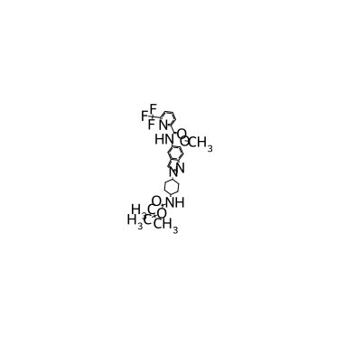 COc1cc2nn([C@H]3CC[C@H](NC(=O)OC(C)(C)C)CC3)cc2cc1NC(=O)c1cccc(C(F)(F)F)n1